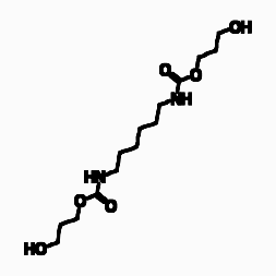 O=C(NCCCCCCNC(=O)OCCCO)OCCCO